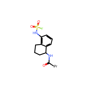 CC(C)C(=O)NC1CCCc2c(NS(=O)(=O)F)cccc21